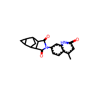 Cc1cc(=O)[nH]c2cc(N3C(=O)C4C5CC(C6CC65)C4C3=O)ccc12